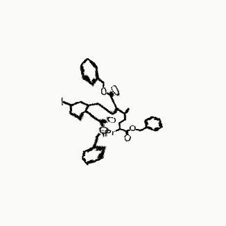 CC(C)C(CCC(C)C(CCC1CC(I)CCC1C(=O)OCc1ccccc1)C(=O)OCc1ccccc1)C(=O)OCc1ccccc1